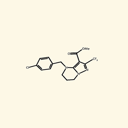 COC(=O)c1c(C(F)(F)F)nn2c1N(Cc1ccc(Cl)cc1)CCC2